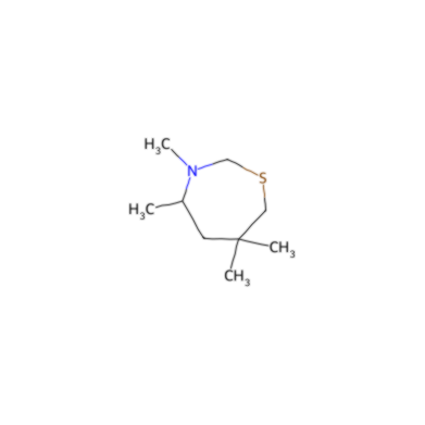 CC1CC(C)(C)CSCN1C